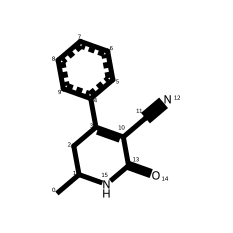 CC1CC(c2ccccc2)=C(C#N)C(=O)N1